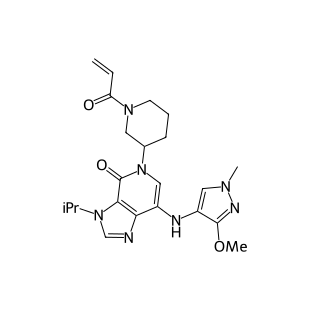 C=CC(=O)N1CCCC(n2cc(Nc3cn(C)nc3OC)c3ncn(C(C)C)c3c2=O)C1